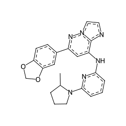 CC1CCCN1c1cccc(Nc2cc(-c3ccc4c(c3)OCO4)nn3ccnc23)n1